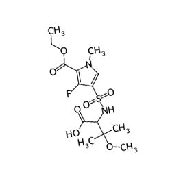 CCOC(=O)c1c(F)c(S(=O)(=O)NC(C(=O)O)C(C)(C)OC)cn1C